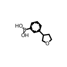 OB(O)c1cccc(C2CCOC2)c1